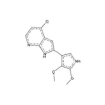 COc1[nH]cc(-c2cc3c(Cl)ccnc3[nH]2)c1OC